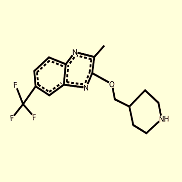 Cc1nc2ccc(C(F)(F)F)cc2nc1OCC1CCNCC1